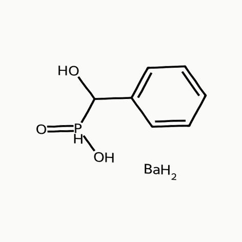 O=[PH](O)C(O)c1ccccc1.[BaH2]